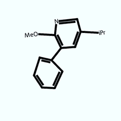 COc1ncc(C(C)C)cc1-c1ccccc1